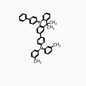 Cc1cccc(N(c2ccc(-c3ccc4c(c3)C(C)(C)c3ccccc3N4c3ccc(-c4ccccc4)cc3)cc2)c2cccc(C)c2)c1